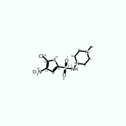 CN1CCN(NS(=O)(=O)c2cc([N+](=O)[O-])c(Cl)s2)CC1